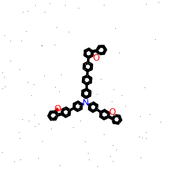 c1ccc2c(c1)oc1cc(-c3ccc(N(c4ccc(-c5ccc(-c6ccc(-c7cccc8c7oc7ccccc78)cc6)cc5)cc4)c4ccc(-c5ccc6c(c5)oc5ccccc56)cc4)cc3)ccc12